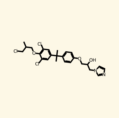 CC(CCl)COc1c(Cl)cc(C(C)(C)c2ccc(OCC(O)Cn3ccnc3)cc2)cc1Cl